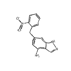 Nc1cc(Cc2ccccc2[N+](=O)[O-])cc2[nH]ncc12